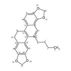 CCCC[n+]1cc2c3c(ccc2c2c1-c1cc4c(cc1CC2)OCO4)OCO3